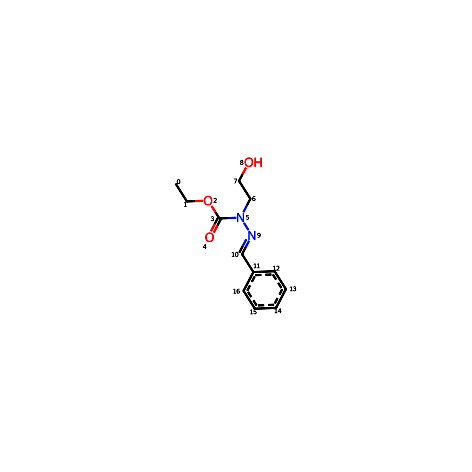 CCOC(=O)N(CCO)N=Cc1ccccc1